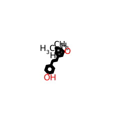 CC1(C)[C@@H]2C[C@H]1C(C=Cc1ccc(O)cc1)=CC2=O